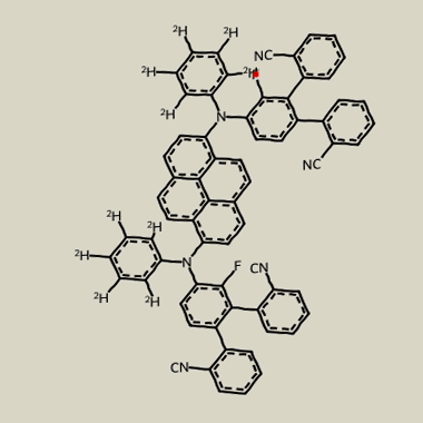 [2H]c1c([2H])c([2H])c(N(c2ccc(-c3ccccc3C#N)c(-c3ccccc3C#N)c2F)c2ccc3ccc4c(N(c5ccc(-c6ccccc6[N+]#[C-])c(-c6ccccc6[N+]#[C-])c5F)c5c([2H])c([2H])c([2H])c([2H])c5[2H])ccc5ccc2c3c54)c([2H])c1[2H]